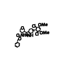 COc1cc(OC)c(Cl)c([C@H]2CCc3c(C4COCCC4NC(=O)OCc4ccccc4)n[nH]c3C2)c1Cl